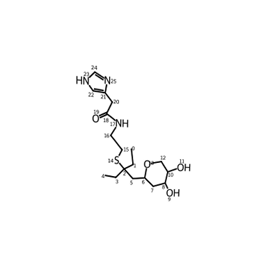 CCC(CC)(CC1CC(O)C(O)CO1)SCCNC(=O)Cc1c[nH]cn1